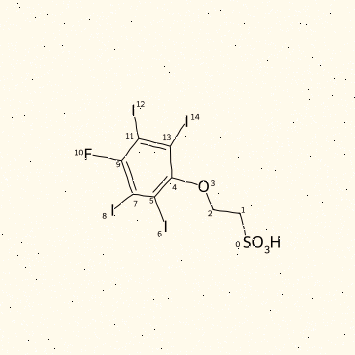 O=S(=O)(O)CCOc1c(I)c(I)c(F)c(I)c1I